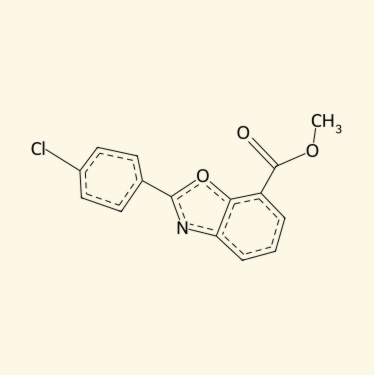 COC(=O)c1cccc2nc(-c3ccc(Cl)cc3)oc12